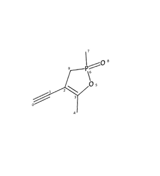 C#CC1=C(C)OP(C)(=O)C1